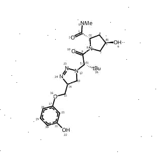 CNC(=O)[C@@H]1C[C@@H](O)CN1C(=O)[C@@H](N1CC(COc2cccc(O)c2)N=N1)C(C)(C)C